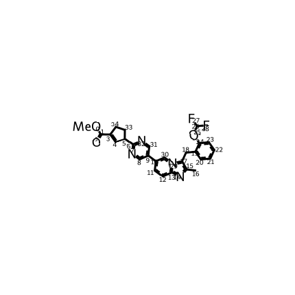 COC(=O)C1=CC(c2ncc(-c3ccc4nc(C)c(Cc5ccccc5OC(F)F)n4c3)cn2)CC1